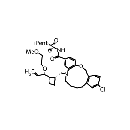 C=C[C@H](OCCOC)[C@@H]1CC[C@H]1CN1CCCCc2cc(Cl)ccc2COc2ccc(C(=O)NS(=O)(=O)[C@H](C)CCC)cc21